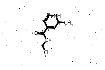 CC1C=C(C(=O)OCCl)C=CN1